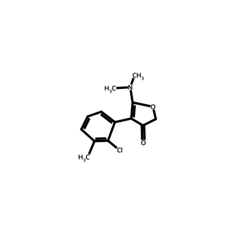 Cc1cccc(C2=C(N(C)C)OCC2=O)c1Cl